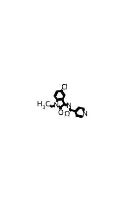 CCN1C(=O)C(=NC(=O)c2ccncc2)c2cc(Cl)ccc21